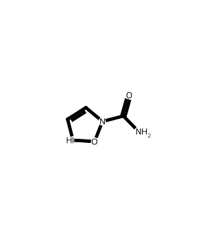 NC(=O)N1C=C[IH]O1